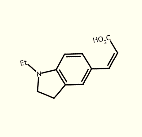 CCN1CCc2cc(/C=C\C(=O)O)ccc21